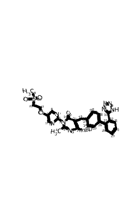 CCCCc1nc(C)n(-c2ncc(OCCS(C)(=O)=O)cn2)c(=O)c1Cc1ccc(-c2ccccc2-c2nnn[nH]2)cc1